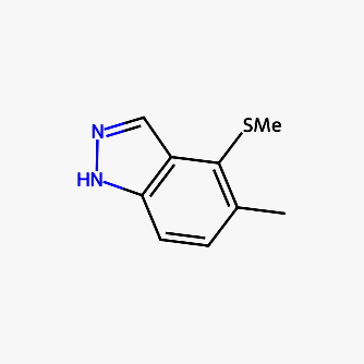 CSc1c(C)ccc2[nH]ncc12